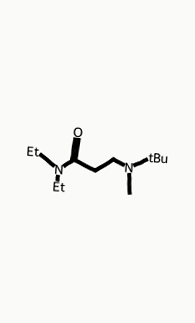 CCN(CC)C(=O)CCN(C)C(C)(C)C